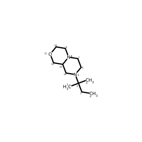 CCC(C)(C)N1CCN2CCOCC2C1